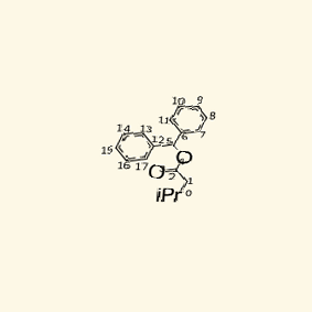 CC(C)CC(=O)OC(c1ccccc1)c1ccccc1